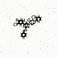 CC1CN(c2ncccc2Cl)CCN1c1cc(-c2ccc(F)c(Cl)c2)nc(SCc2ccccc2)n1